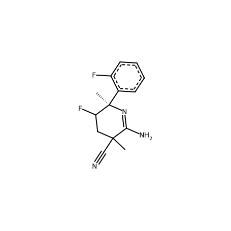 CC1(C#N)CC(F)[C@@](C)(c2ccccc2F)N=C1N